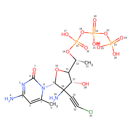 Cc1cc(N)nc(=O)n1[C@@H]1OC([C@@H](C)OP(=O)(O)OP(=O)(O)OP(=O)(O)O)[C@H](O)C1(N)C#CCl